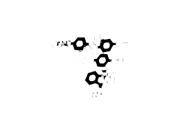 CCc1cc(O)ccc1C(=O)[O-].O=C([O-])c1ccc(O)cc1.O=C([O-])c1ccc(O)cc1.O=C1NS(=O)(=O)c2ccccc21.[Na+].[Na+].[Na+]